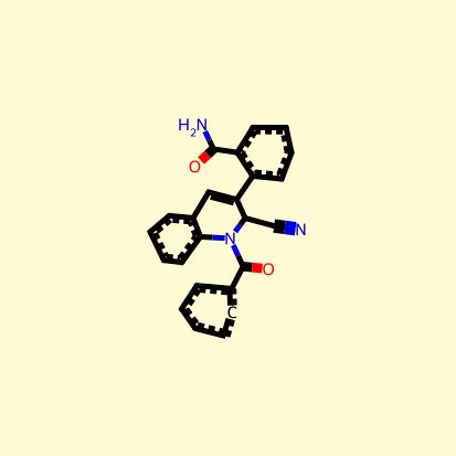 N#CC1C(c2ccccc2C(N)=O)=Cc2ccccc2N1C(=O)c1ccccc1